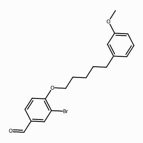 COc1cccc(CCCCCOc2ccc(C=O)cc2Br)c1